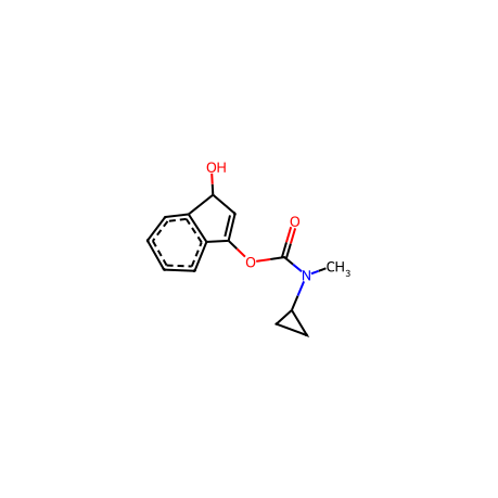 CN(C(=O)OC1=CC(O)c2ccccc21)C1CC1